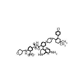 CC1(C)CCC(CN2CCN(c3ccc(C(=O)NS(=O)(=O)c4ccc(NCC5CCOCC5)c([N+](=O)[O-])c4)c(C4=c5ncc(N)nc5=CNCC4)c3)CC2)=C(c2ccc(Cl)cc2)C1